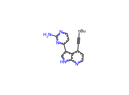 CCCCC#Cc1ccnc2[nH]cc(-c3ccnc(N)n3)c12